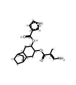 C/C(=C\N)C(=O)OC1CC2C3CCC(C3)C2CC1OC(=O)c1cc[nH]c1